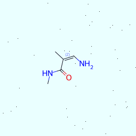 CNC(=O)/C(C)=C\N